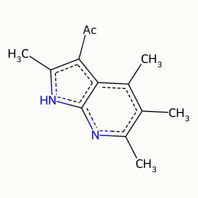 CC(=O)c1c(C)[nH]c2nc(C)c(C)c(C)c12